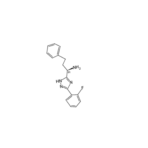 N[C@H](CCc1ccccc1)c1nc(-c2ccccc2F)n[nH]1